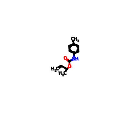 C=CC(C)OC(=O)Nc1ccc(C)cc1